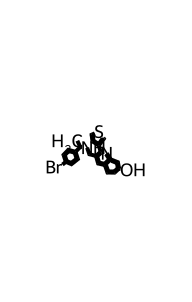 CC(NCc1cc2ccc(O)cc2nc1-c1ccsc1)c1ccc(Br)cc1